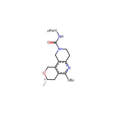 CCCCCNC(=O)N1CCc2nc(CCCC)c3c(c2C1)CO[C@@H](C)C3